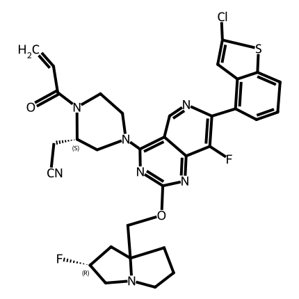 C=CC(=O)N1CCN(c2nc(OCC34CCCN3C[C@H](F)C4)nc3c(F)c(-c4cccc5sc(Cl)cc45)ncc23)C[C@@H]1CC#N